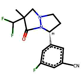 CC1(C(F)F)CN2CC[C@H](c3cc(F)cc(C#N)c3)N2C1=O